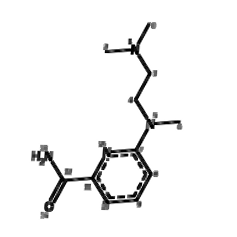 CN(C)CCN(C)c1cc[c]c(C(N)=O)n1